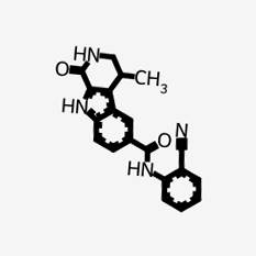 CC1CNC(=O)c2[nH]c3ccc(C(=O)Nc4ccccc4C#N)cc3c21